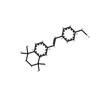 CC1(C)CCC(C)(C)c2cc(/C=C/c3ccc(CI)cc3)ccc21